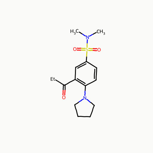 CCC(=O)c1cc(S(=O)(=O)N(C)C)ccc1N1CCCC1